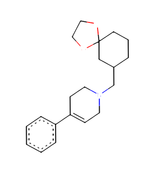 C1=C(c2ccccc2)CCN(CC2CCCC3(C2)OCCO3)C1